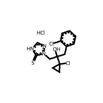 Cl.OC(Cc1ccccc1Cl)(Cn1nc[nH]c1=S)C1(Cl)CC1